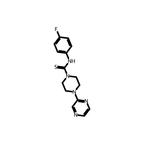 Fc1ccc(NC(=S)N2CCN(c3cnccn3)CC2)cc1